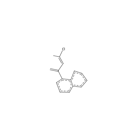 C=C(/C=C(\C)Cl)c1cccc2ccccc12